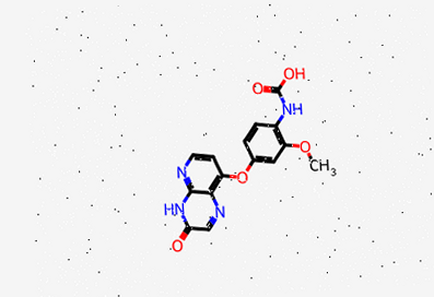 COc1cc(Oc2ccnc3[nH]c(=O)cnc23)ccc1NC(=O)O